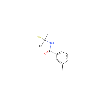 CCC(C)(S)NC(=O)c1cccc(C)c1